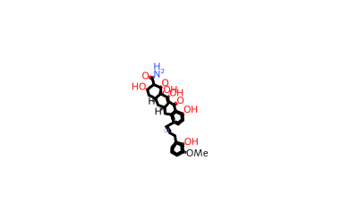 COc1cccc(C/C=C\c2ccc(O)c3c2C[C@H]2C[C@H]4CC(O)C(C(N)=O)C(=O)[C@@]4(O)C(O)=C2C3=O)c1O